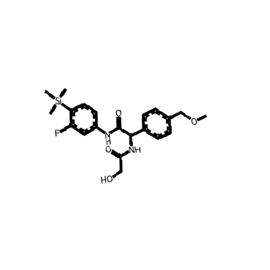 COCc1ccc(C(NC(=O)CO)C(=O)Nc2ccc([Si](C)(C)C)c(F)c2)cc1